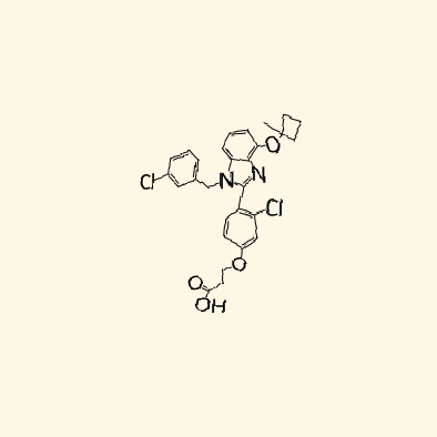 CC1(Oc2cccc3c2nc(-c2ccc(OCCC(=O)O)cc2Cl)n3Cc2cccc(Cl)c2)CCC1